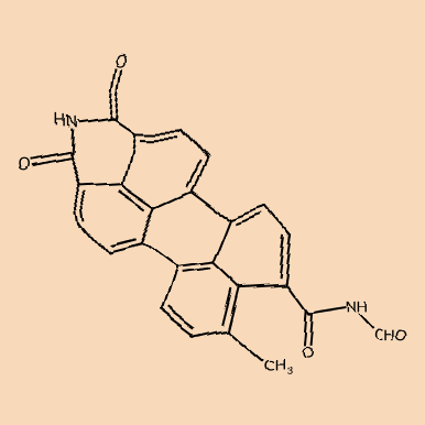 Cc1ccc2c3ccc4c5c(ccc(c6ccc(C(=O)NC=O)c1c26)c53)C(=O)NC4=O